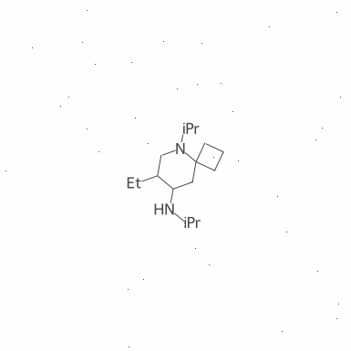 CCC1CN(C(C)C)C2(CCC2)CC1NC(C)C